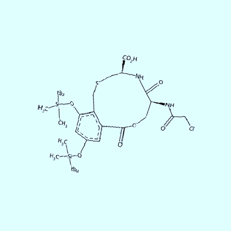 CC(C)(C)[Si](C)(C)Oc1cc(O[Si](C)(C)C(C)(C)C)c2c(c1)C(=O)OC[C@H](NC(=O)CCl)C(=O)N[C@H](C(=O)O)CSC2